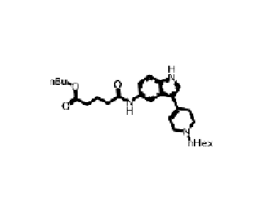 CCCCCCN1CC=C(c2c[nH]c3ccc(NC(=O)CCCC(=O)OCCCC)cc23)CC1